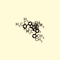 Cc1cccc(-c2cccc3c2C=C(C(C)C)[CH]3[Hf]([Cl])([Cl])([CH]2C(C(C)C)=Cc3c(-c4cccc(C)c4C)cccc32)[SiH](C)C)c1C